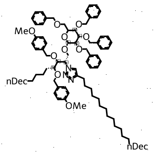 CCCCCCCCCCCCCCCCCCCCCCCc1cn([C@@H](CO[C@H]2OC(COCc3ccccc3)[C@H](OCc3ccccc3)[C@H](OCc3ccccc3)[C@H]2OCc2ccccc2)[C@H](OCc2ccc(OC)cc2)[C@@H](CCCCCCCCCCCCCC)OCc2ccc(OC)cc2)nn1